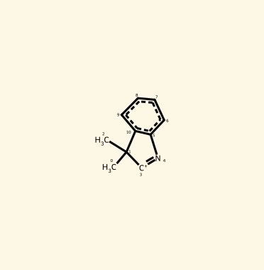 CC1(C)[C+]=Nc2ccccc21